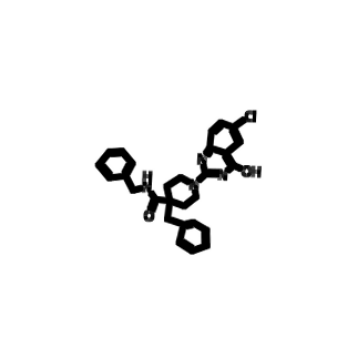 O=C(NCc1ccccc1)C1(Cc2ccccc2)CCN(c2nc(O)c3cc(Cl)ccc3n2)CC1